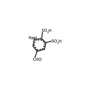 O=Cc1ccc(S(=O)(=O)O)c(S(=O)(=O)O)c1.[NaH]